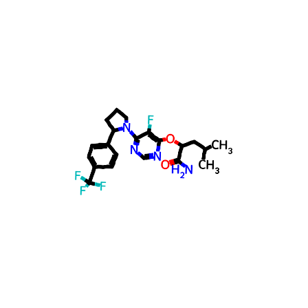 CC(C)CC(Oc1ncnc(N2CCCC2c2ccc(C(F)(F)F)cc2)c1F)C(N)=O